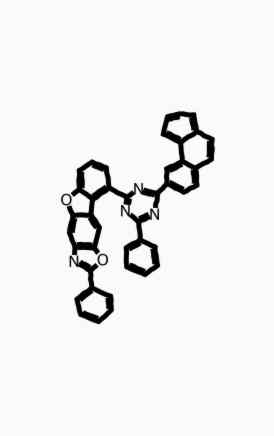 c1ccc(-c2nc(-c3ccc4ccc5ccccc5c4c3)nc(-c3cccc4oc5cc6nc(-c7ccccc7)oc6cc5c34)n2)cc1